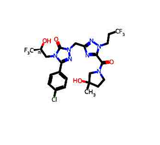 CC1(O)CCN(C(=O)c2nc(Cn3nc(-c4ccc(Cl)cc4)n(C[C@H](O)C(F)(F)F)c3=O)nn2CCC(F)(F)F)C1